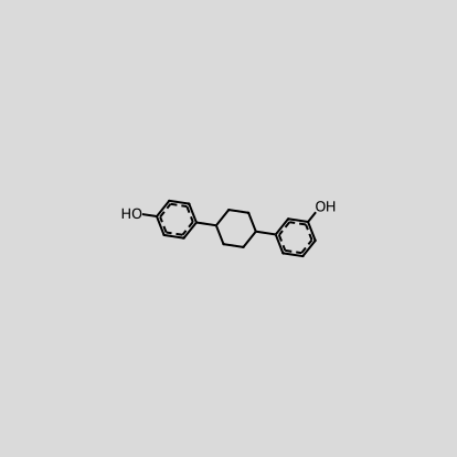 Oc1ccc(C2CCC(c3cccc(O)c3)CC2)cc1